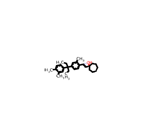 CCC(CC)(c1ccc(C)c(C)c1)c1ccc(/C=C/C2(O)CCCCCC2)c(C)c1